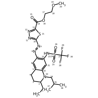 CCC1CCc2cc(N=Nc3nnc(C(=O)OCCOC)s3)c(NS(=O)(=O)C(F)(F)F)cc2N1CC(C)C